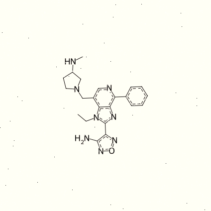 CCn1c(-c2nonc2N)nc2c(-c3ccccc3)ncc(CN3CCC(NC)C3)c21